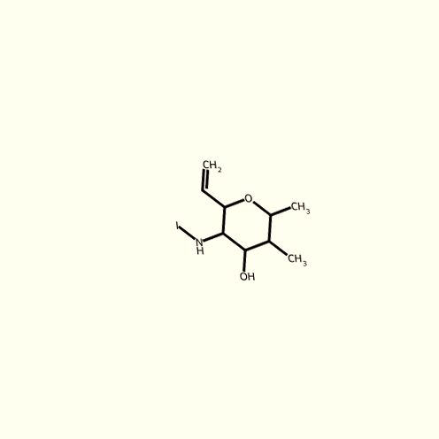 C=CC1OC(C)C(C)C(O)C1NI